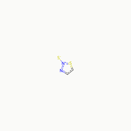 [S-][n+]1nccs1